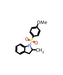 COc1ccc(S(=O)(=O)N2c3ccccc3CC2C)cc1